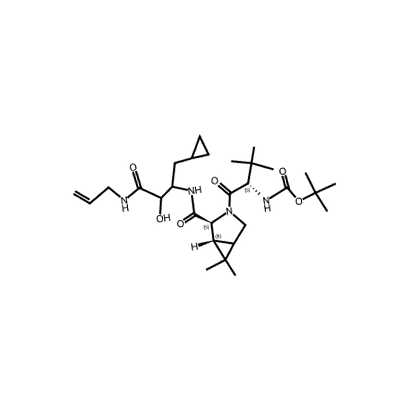 C=CCNC(=O)C(O)C(CC1CC1)NC(=O)[C@@H]1[C@@H]2C(CN1C(=O)[C@@H](NC(=O)OC(C)(C)C)C(C)(C)C)C2(C)C